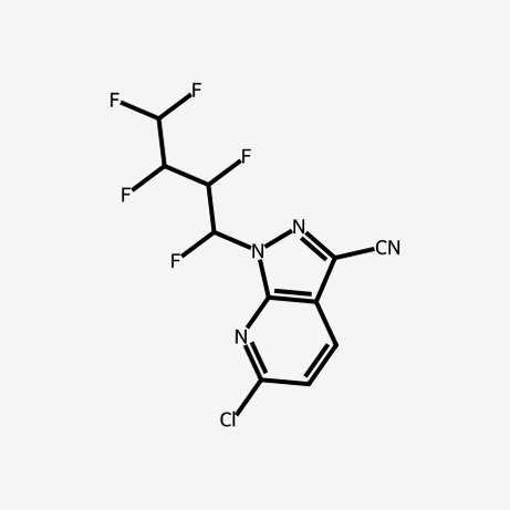 N#Cc1nn(C(F)C(F)C(F)C(F)F)c2nc(Cl)ccc12